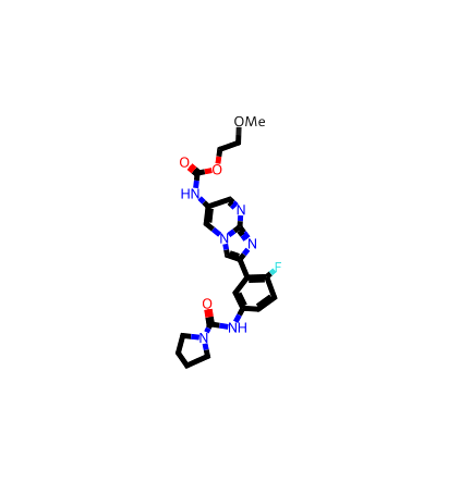 COCCOC(=O)Nc1cnc2nc(-c3cc(NC(=O)N4CCCC4)ccc3F)cn2c1